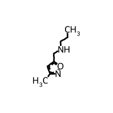 CCCNCc1cc(C)no1